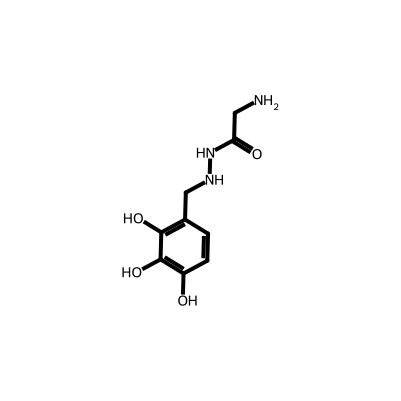 NCC(=O)NNCc1ccc(O)c(O)c1O